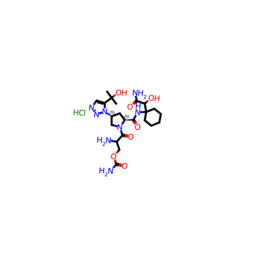 CC(C)(O)c1cnnn1[C@H]1C[C@@H](C(=O)NC2(C(O)C(N)=O)CCCCC2)N(C(=O)C(N)COC(N)=O)C1.Cl